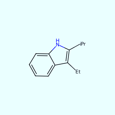 CCc1c(C(C)C)[nH]c2ccccc12